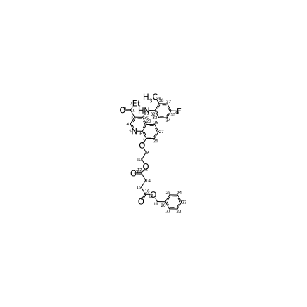 CCC(=O)c1cnc2c(OCCOC(=O)CCC(=O)OCc3ccccc3)cccc2c1Nc1ccc(F)cc1C